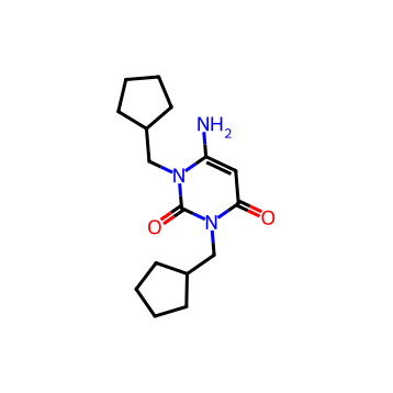 Nc1cc(=O)n(CC2CCCC2)c(=O)n1CC1CCCC1